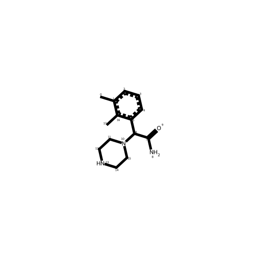 Cc1cccc(C(C(N)=O)N2CCNCC2)c1C